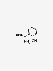 CCCCC(N)c1ccccc1O